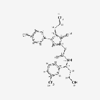 O=C(Cn1nc(-c2ccc(Cl)cc2)n(CCC(F)(F)F)c1=O)NC(CCO)c1cccc(C(F)(F)F)c1